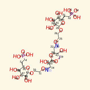 O=P(O)(O)CC[C@H]1OC(OCCO/N=C\[C@@H](O)[C@H](OI)O[C@@H](/C=N/OCCOC2O[C@H](CCP(=O)(O)O)[C@@H](O)[C@H](O)[C@@H]2O)CO)[C@@H](O)[C@@H](O)[C@@H]1O